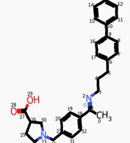 C/C(=N\CCCc1ccc(-c2ccccc2)cc1)c1ccc(CN2CCC(C(=O)O)C2)cc1